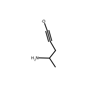 CC(N)CC#C[O]